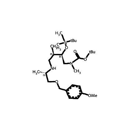 COc1ccc(COC[C@H](C)NC[C@@H](C)[C@H](CN(C)C(=O)OC(C)(C)C)O[Si](C)(C)C(C)(C)C)cc1